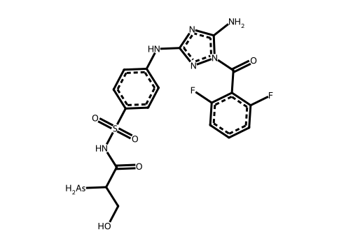 Nc1nc(Nc2ccc(S(=O)(=O)NC(=O)C([AsH2])CO)cc2)nn1C(=O)c1c(F)cccc1F